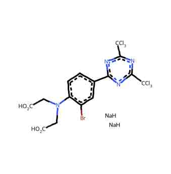 O=C(O)CN(CC(=O)O)c1ccc(-c2nc(C(Cl)(Cl)Cl)nc(C(Cl)(Cl)Cl)n2)cc1Br.[NaH].[NaH]